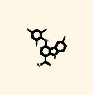 NC(=O)c1cnc(Nc2c(F)cc(F)cc2F)c2c1[nH]c1ccc(F)cc12